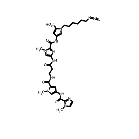 Cn1cc(NC(=O)c2nccn2C)cc1C(=O)NCCC(=O)Nc1cn(C)c(C(=O)Nc2cc(C(=O)O)n(CCCCCCN=[N+]=[N-])c2)n1